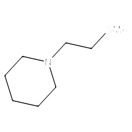 CSCCN1CCCCC1